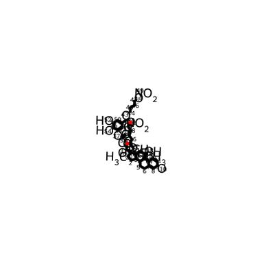 C[C@@H]1CC2C3CCC4=CC(=O)C=C[C@]4(C)[C@@]3(F)[C@@H](O)C[C@]2(C)[C@@]1(OC(=O)CCCO[N+](=O)[O-])C(=O)COC(=O)Oc1cc(C(=O)OCCCCO[N+](=O)[O-])cc(O)c1O